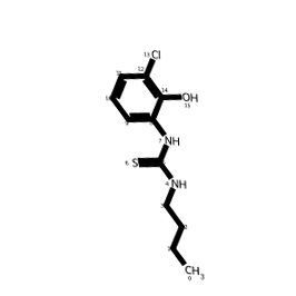 CCCCNC(=S)Nc1cccc(Cl)c1O